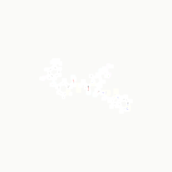 Cc1ccc(Oc2ccnc(C(=O)NCC(=O)N3C[C@H](OC(F)F)C[C@H]3C(=O)NCc3cc4cnccc4[nH]3)c2)c(F)c1